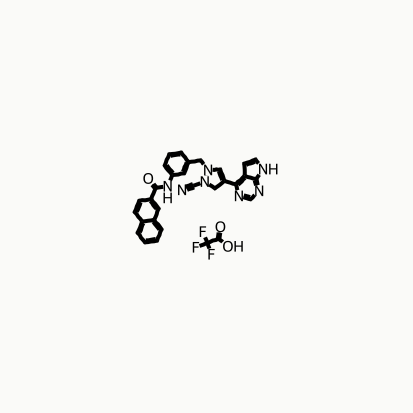 N#CN1CC(c2ncnc3[nH]ccc23)=CN1Cc1cccc(NC(=O)c2ccc3ccccc3c2)c1.O=C(O)C(F)(F)F